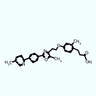 Cc1ccc(-c2ccc(-c3nc(CCOc4ccc(CCC(=O)O)c(C)c4)c(C)o3)cc2)nc1